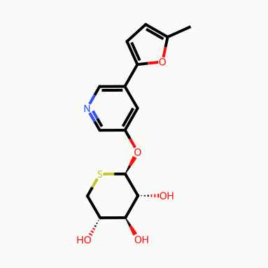 Cc1ccc(-c2cncc(O[C@@H]3SC[C@@H](O)[C@H](O)[C@H]3O)c2)o1